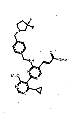 COC(=O)/C=C/c1cnc(-c2c(OC)ncnc2C2CC2)nc1NCc1ccc(CN2CCC(F)(F)C2)cc1